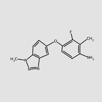 Cc1c(N)ccc(Oc2ccc3c(c2)nnn3C)c1F